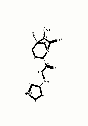 CON1C(=O)N2C[C@H]1CC[C@H]2C(=O)NO[C@@H]1CCNC1